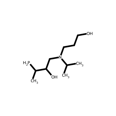 CC(P)C(O)CN(CCCO)C(C)C